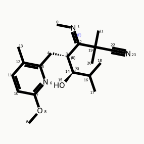 C/N=C(\[C@@H](Cc1nc(OC)ccc1C)[C@H](O)C(C)C)C(C)(C)C#N